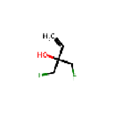 C=CC(O)(CF)CF